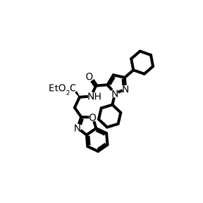 CCOC(=O)[C@H](Cc1nc2ccccc2o1)NC(=O)c1cc(C2CCCCC2)nn1C1CCCCC1